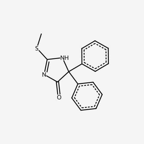 CSC1=NC(=O)C(c2ccccc2)(c2ccccc2)N1